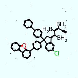 B/C(C#C)=C(B)/C(B)=C1\CC(c2ccc(-c3ccccc3)cc2)(c2ccc(-c3cccc4c3oc3ccccc34)cc2)c2ccc(Cl)cc21